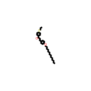 CCCCCCCCCCCCCCOc1ccc(C=CC(=O)c2ccc(SCCC)cc2)cc1